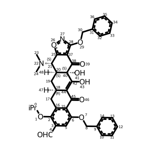 CC(C)Oc1c(C=O)cc(OCc2ccccc2)c2c1C[C@H]1C[C@H]3[C@H](N(C)C)c4onc(OCc5ccccc5)c4C(=O)[C@@]3(O)C(O)=C1C2=O